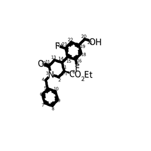 CCOC(=O)[C@H]1CN(Cc2ccccc2)C(=O)CC1c1c(F)cc(CO)cc1F